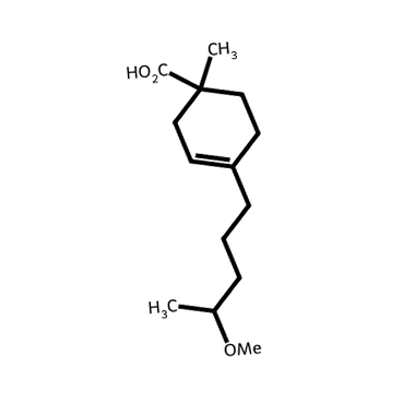 COC(C)CCCC1=CCC(C)(C(=O)O)CC1